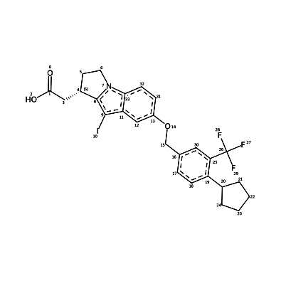 O=C(O)C[C@@H]1CCn2c1c(I)c1cc(OCc3ccc(C4CCCC4)c(C(F)(F)F)c3)ccc12